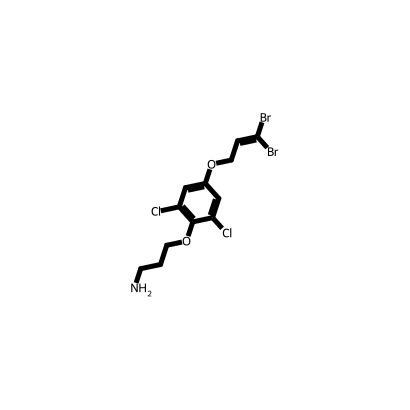 NCCCOc1c(Cl)cc(OCC=C(Br)Br)cc1Cl